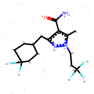 Cc1c(C(N)=O)c(CC2CCC(F)(F)CC2)nn1CCC(F)(F)F